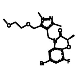 COCCOCc1c(CN2C(=O)[C@@H](C)Oc3c(F)cc(Br)cc32)c(C)nn1C